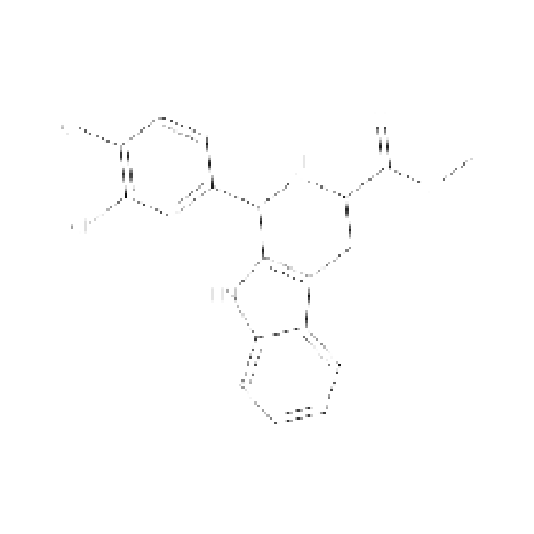 COC(=O)C1Cc2c([nH]c3ccccc23)C(c2ccc(Cl)c(Cl)c2)N1